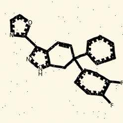 Fc1ccc(C2(c3ccccc3)C=Cc3c(-c4ncco4)n[nH]c3C2)cc1F